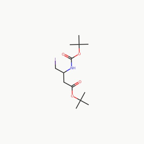 CC(C)(C)OC(=O)CC(CI)NC(=O)OC(C)(C)C